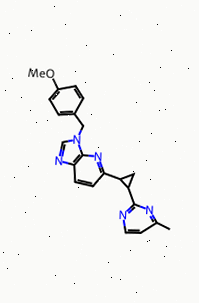 COc1ccc(Cn2cnc3ccc(C4CC4c4nccc(C)n4)nc32)cc1